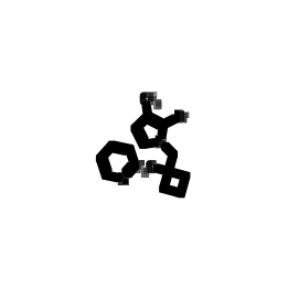 FC(F)(F)c1ccn(CC2(C(F)(F)F)CCC2)c1Br.c1ccncc1